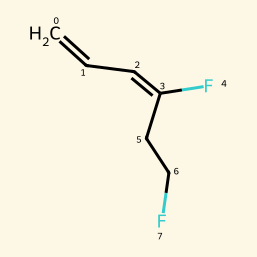 C=C/C=C(/F)CCF